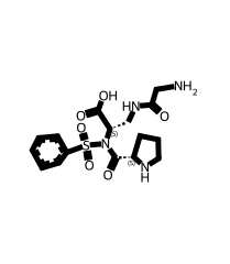 NCC(=O)NC[C@@H](C(=O)O)N(C(=O)[C@@H]1CCCN1)S(=O)(=O)c1ccccc1